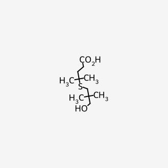 CC(C)(CO)CSC(C)(C)CCC(=O)O